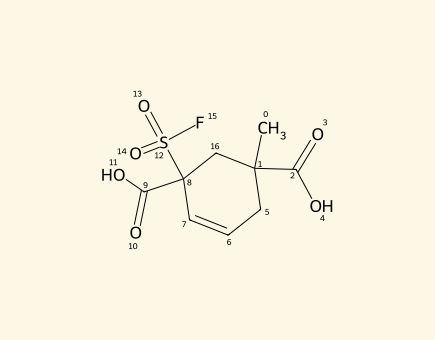 CC1(C(=O)O)CC=CC(C(=O)O)(S(=O)(=O)F)C1